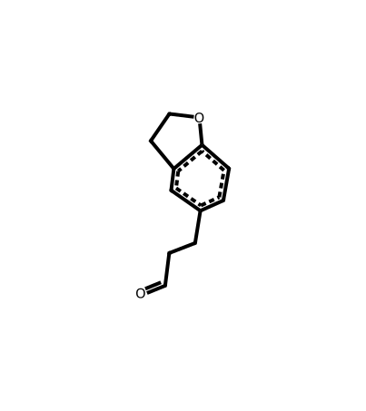 O=CCCc1ccc2c(c1)CCO2